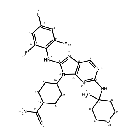 CC1(Nc2ncc3nc(Nc4c(F)cc(F)cc4F)n(C4CCC(C(N)=O)CC4)c3n2)CCOCC1